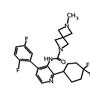 CN1CC2(C1)CN(C(=O)Nc1c(-c3cc(F)ccc3F)ccnc1C1CCC(F)(F)CC1)C2